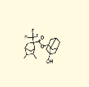 CC1C2CC(C1C)C(C(=O)OC13CC4CC(CC(O)(C4)C1)C3)(C(F)(F)F)C2